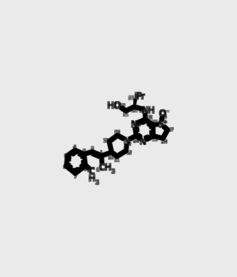 C/C(=C\c1ccccc1C)C1CCN(c2nc3c(c(N[C@@H](CO)C(C)C)n2)[S+]([O-])CC3)CC1